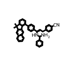 CC1(C)c2cc3ccccc3cc2-c2c(-c3ccc(/C(=C/Cc4ccc(C#N)cc4)NC(N)c4ccccc4)cc3)cccc21